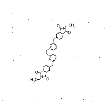 CCN1C(=O)c2ccc(Cc3ccc4c(c3)CCc3cc(Cc5ccc6c(c5)C(=O)N(CC)C6=O)ccc3-4)cc2C1=O